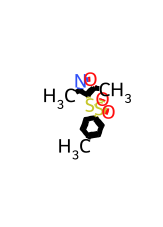 Cc1ccc(S(=O)(=O)Sc2c(C)noc2C)cc1